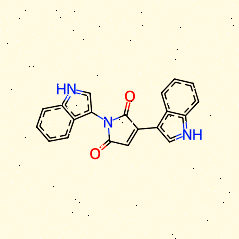 O=C1C=C(c2c[nH]c3ccccc23)C(=O)N1c1c[nH]c2ccccc12